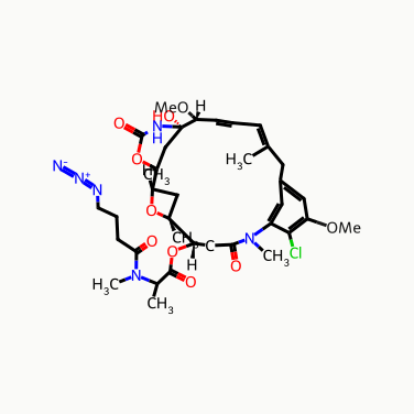 COc1cc2cc(c1Cl)N(C)C(=O)C[C@H](OC(=O)C(C)N(C)C(=O)CCCN=[N+]=[N-])[C@@]1(C)CC(C)(O1)[C@@H]1C[C@@](O)(NC(=O)O1)[C@H](OC)/C=C/C=C(\C)C2